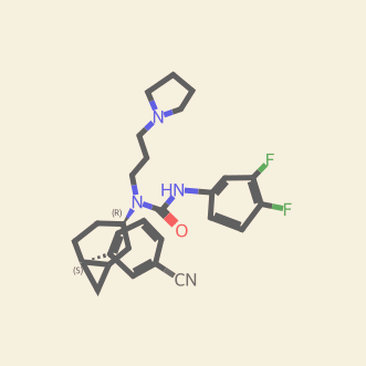 N#Cc1cccc([C@]23CC[C@@H](N(CCCN4CCCC4)C(=O)Nc4ccc(F)c(F)c4)CC2C3)c1